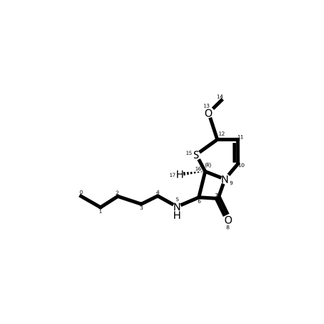 CCCCCNC1C(=O)N2C=CC(OC)S[C@H]12